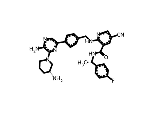 C[C@H](NC(=O)c1cc(C#N)cnc1NCc1ccc(-c2cnc(N)c(N3CCC[C@@H](N)C3)n2)cc1)c1ccc(F)cc1